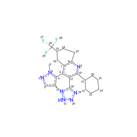 Cn1nccc1-c1c2c(nc(C3CCCCC3)c1-c1nn[nH]n1)CCC(C(F)(F)F)C2